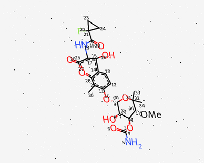 CO[C@@H]1[C@@H](OC(N)=O)[C@@H](O)[C@H](Oc2ccc3c(O)c(NC(=O)C4(F)CC4)c(=O)oc3c2C)OC1(C)C